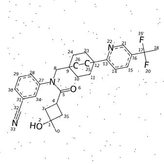 CC1(O)CC(C(=O)N(CC23CCC(c4ccc(C(C)(F)F)cn4)(CC2)CC3)c2cccc(C#N)c2)C1